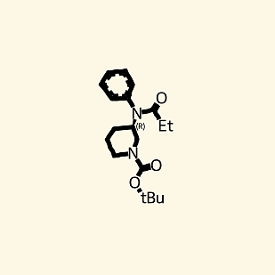 CCC(=O)N(c1ccccc1)[C@@H]1CCCN(C(=O)OC(C)(C)C)C1